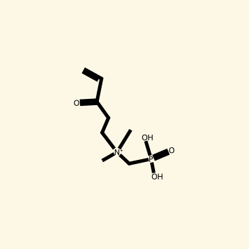 C=CC(=O)CC[N+](C)(C)CP(=O)(O)O